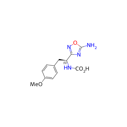 COc1ccc(C[C@H](NC(=O)O)c2noc(N)n2)cc1